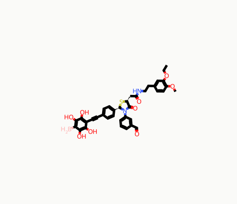 Bc1c(O)c(O)c(C#Cc2ccc([C@@H]3S[C@H](CC(=O)NCCc4ccc(OC)c(OCC)c4)C(=O)N3c3cccc(C=O)c3)cc2)c(O)c1O